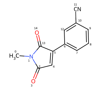 CN1C(=O)C=C(c2cccc(C#N)c2)C1=O